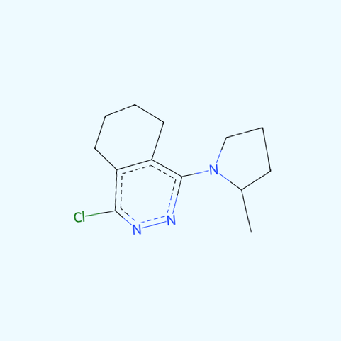 CC1CCCN1c1nnc(Cl)c2c1CCCC2